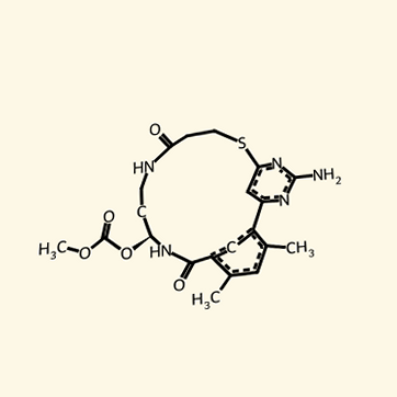 COC(=O)O[C@H]1CCNC(=O)CCSc2cc(nc(N)n2)-c2cc(c(C)cc2C)C(=O)N1